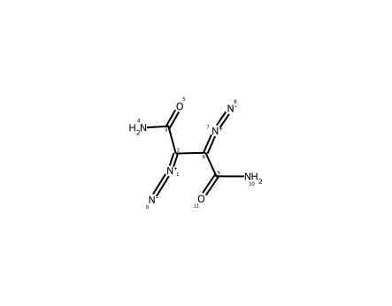 [N-]=[N+]=C(C(N)=O)C(=[N+]=[N-])C(N)=O